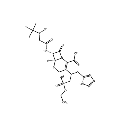 CCOP(=O)(O)CC(Sc1nnn[nH]1)C1=C(C(=O)O)N2C(=O)[C@@H](NC(=O)C[S+]([O-])C(F)(F)F)[C@@H]2SC1